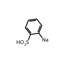 O=S(=O)(O)c1cccc[c]1[Na]